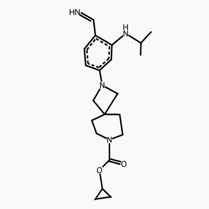 CC(C)Nc1cc(N2CC3(CCN(C(=O)OC4CC4)CC3)C2)ccc1C=N